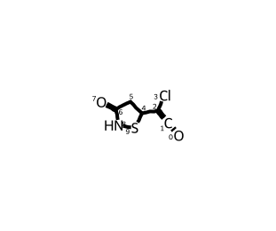 O=C=C(Cl)C1CC(=O)NS1